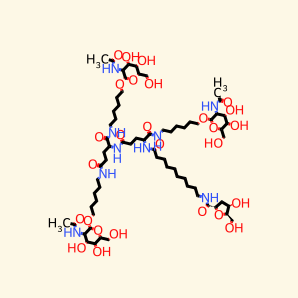 CC(=O)NC1C(OCCCCCCNC(=O)CCC(NC(=O)CCC(NC(=O)CCCCCCCCCNC(=O)[C@@H]2C[C@H](O)[C@@H](CO)O2)C(=O)NCCCCCCOC2OC(CO)C(O)C(O)C2NC(C)=O)C(=O)NCCCCCCOC2OC(CO)C(O)C(O)C2NC(C)=O)OC(CO)C(O)C1O